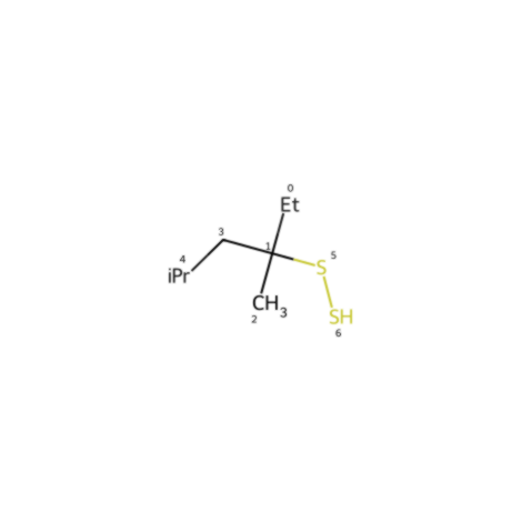 CCC(C)(CC(C)C)SS